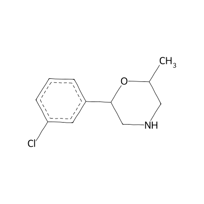 CC1CNCC(c2cccc(Cl)c2)O1